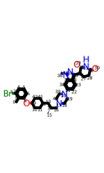 Cc1c(Br)cccc1OC1CCC(C[C@@H](C)CN2CCN(c3ccc4c(C5CCC(=O)NC5=O)nn(C)c4c3)CC2)CC1